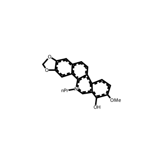 CCC[n+]1cc2c(O)c(OC)ccc2c2ccc3cc4c(cc3c21)OCO4